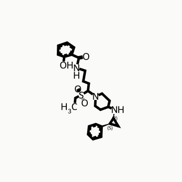 CCS(=O)(=O)C(CCCNC(=O)c1ccccc1O)N1CCC(N[C@@H]2C[C@H]2c2ccccc2)CC1